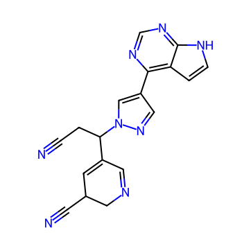 N#CCC(C1=CC(C#N)CN=C1)n1cc(-c2ncnc3[nH]ccc23)cn1